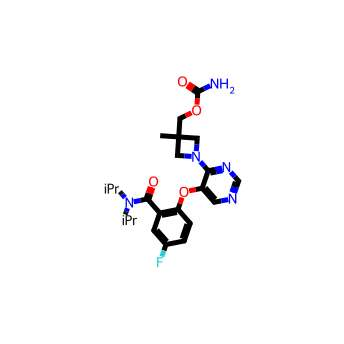 CC(C)N(C(=O)c1cc(F)ccc1Oc1cncnc1N1CC(C)(COC(N)=O)C1)C(C)C